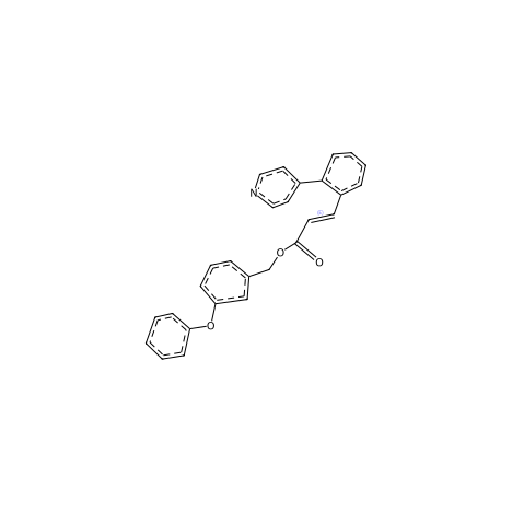 O=C(/C=C/c1ccccc1-c1ccncc1)OCc1cccc(Oc2ccccc2)c1